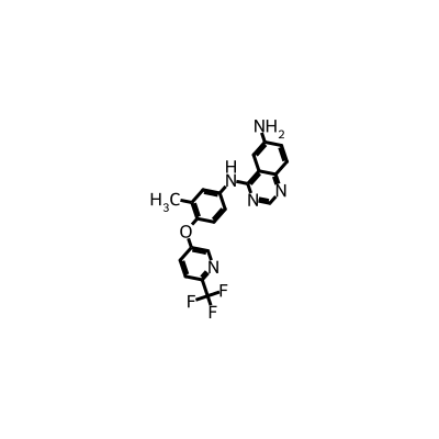 Cc1cc(Nc2ncnc3ccc(N)cc23)ccc1Oc1ccc(C(F)(F)F)nc1